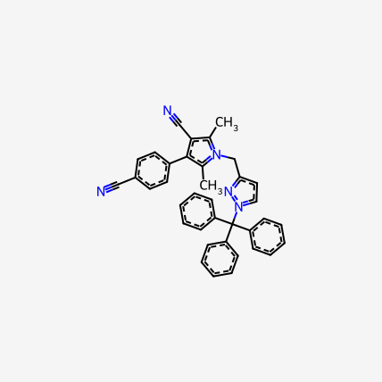 Cc1c(C#N)c(-c2ccc(C#N)cc2)c(C)n1Cc1ccn(C(c2ccccc2)(c2ccccc2)c2ccccc2)n1